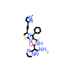 C[C@H](NC(=O)c1c(N)nn2cccnc12)c1nc2scc(C#Cc3ccn(C)n3)n2c1-c1ccccc1